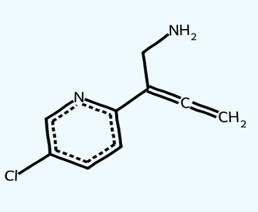 C=C=C(CN)c1ccc(Cl)cn1